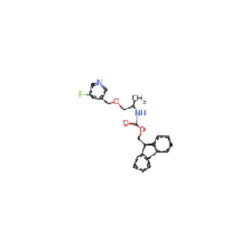 CC(COCc1cncc(F)c1)NC(=O)OCC1c2ccccc2-c2ccccc21